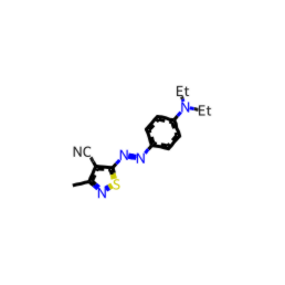 CCN(CC)c1ccc(N=Nc2snc(C)c2C#N)cc1